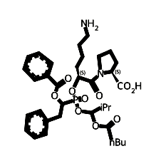 CCCCC(=O)OC(OP(=O)(O[C@@H](CCCCN)C(=O)N1CCC[C@H]1C(=O)O)C(Cc1ccccc1)OC(=O)c1ccccc1)C(C)C